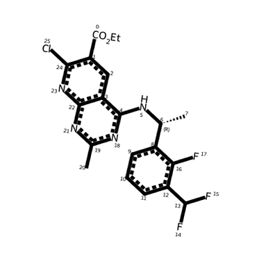 CCOC(=O)c1cc2c(N[C@H](C)c3cccc(C(F)F)c3F)nc(C)nc2nc1Cl